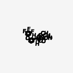 CC(C)(C)N(C(=O)O)S(=O)(=O)NCc1cccc(Oc2cc(F)c(F)c(F)c2)c1